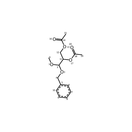 COC(OCc1ccccc1)C(COC(C)=O)OC(C)=O